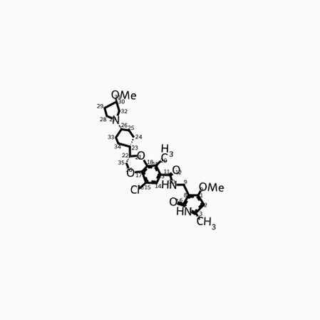 COc1cc(C)[nH]c(=O)c1CNC(=O)c1cc(Cl)c2c(c1C)O[C@@H]([C@H]1CC[C@@H](N3CC[C@@H](OC)C3)CC1)CO2